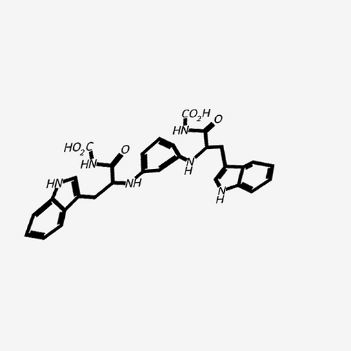 O=C(O)NC(=O)C(Cc1c[nH]c2ccccc12)Nc1cccc(NC(Cc2c[nH]c3ccccc23)C(=O)NC(=O)O)c1